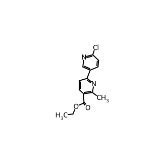 CCOC(=O)c1ccc(-c2ccc(Cl)nc2)nc1C